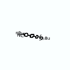 CCCCC1CSC(c2ccc(-c3ccc(C4CCC(C#N)(CCCC)CC4)cc3)cc2)SC1